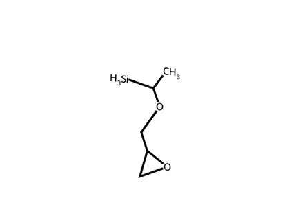 CC([SiH3])OCC1CO1